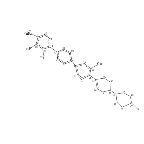 CCCCc1ccc(-c2ccc(-c3ccc(C4=CCC(C5CCC(C)CC5)CC4)c(F)c3)cc2)c(F)c1F